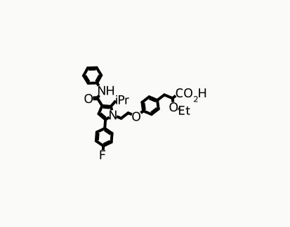 CCOC(Cc1ccc(OCCn2c(-c3ccc(F)cc3)cc(C(=O)Nc3ccccc3)c2C(C)C)cc1)C(=O)O